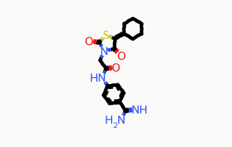 N=C(N)c1ccc(NC(=O)CN2C(=O)SC(=C3CCCCC3)C2=O)cc1